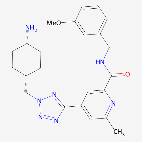 COc1cccc(CNC(=O)c2cc(-c3nnn(C[C@H]4CC[C@@H](N)CC4)n3)cc(C)n2)c1